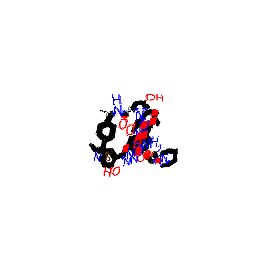 Cc1ncsc1-c1ccc([C@H](C)NC(=O)[C@@H]2C[C@@H](O)CN2C(=O)[C@@H](c2cc(OCCN3C4CCC3CN(CCOc3cc(N5C6CCC5CN(c5cc(-c7ccccc7O)nnc5N)C6)ccn3)C4)no2)C(C)C)cc1